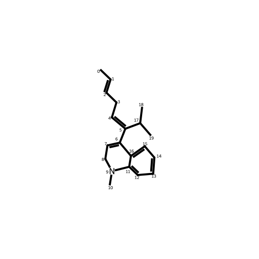 C/C=C/C/C=C(/C1=CCN(C)c2ccccc21)C(C)C